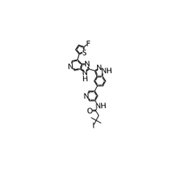 CC(C)(I)CC(=O)Nc1cncc(-c2ccc3[nH]nc(-c4nc5c(-c6ccc(F)s6)cncc5[nH]4)c3c2)c1